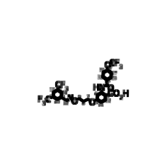 O=C(Nc1cc(OCCCON=Cc2cc(C(F)(F)F)cc(C(F)(F)F)c2)ccc1C(=O)O)c1ccc(OC(F)(F)F)cc1